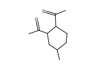 CC(=O)C1CCC(C)CC1C(C)=O